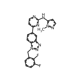 Cn1nccc1Nc1nccc(-c2ccc3c(c2)nnn3Cc2cccc(F)c2F)n1